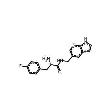 N[C@@H](Cc1ccc(F)cc1)C(=O)NCc1cnc2[nH]ccc2c1